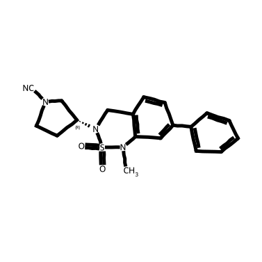 CN1c2cc(-c3ccccc3)ccc2CN([C@@H]2CCN(C#N)C2)S1(=O)=O